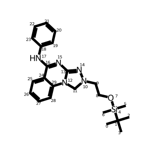 CC(C)(C)[Si](C)(C)OCCN1CN2C(=N1)N=C(Nc1ccccc1)c1ccccc12